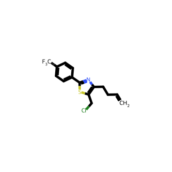 C=CCCc1nc(-c2ccc(C(F)(F)F)cc2)sc1CCl